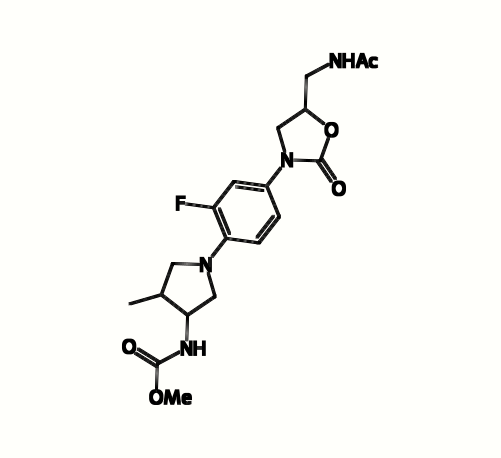 COC(=O)NC1CN(c2ccc(N3CC(CNC(C)=O)OC3=O)cc2F)CC1C